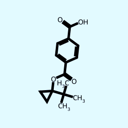 CC(C)(C)C1(OC(=O)c2ccc(C(=O)O)cc2)CC1